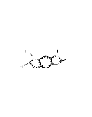 CCc1nc2cc3nc(CC)n(C)c3cc2n1C